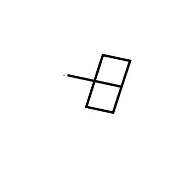 [CH2]C12CCC1CC2